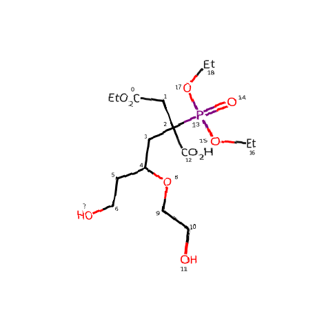 CCOC(=O)CC(CC(CCO)OCCO)(C(=O)O)P(=O)(OCC)OCC